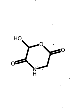 O=C1CNC(=O)C(O)O1